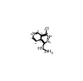 NNc1nnc(Cl)c2cnccc12